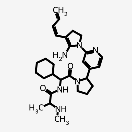 C=C/C=C\C1=C(N)N(c2cc(C3CCCN3C(=O)C(NC(=O)C(C)NC)C3CCCCC3)ccn2)CC1